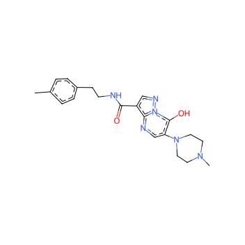 Cc1ccc(CCNC(=O)c2cnn3c(O)c(N4CCN(C)CC4)cnc23)cc1